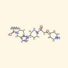 CNC(=O)N1CCc2c(cnn2C2CCN(C(=O)COC3CCNCC3)CC2)C1